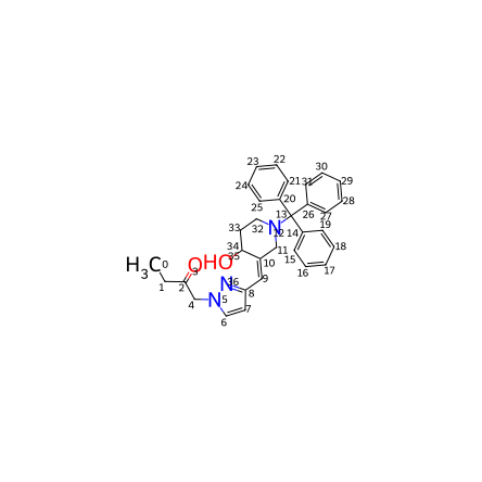 CCC(=O)Cn1ccc(C=C2CN(C(c3ccccc3)(c3ccccc3)c3ccccc3)CCC2O)n1